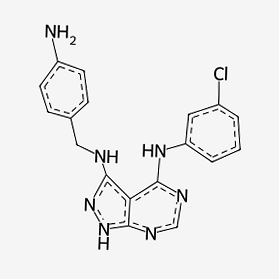 Nc1ccc(CNc2n[nH]c3ncnc(Nc4cccc(Cl)c4)c23)cc1